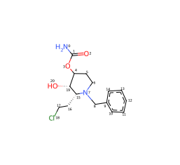 NC(=O)OC1CCN(Cc2ccccc2)[C@H](CCCl)[C@@H]1O